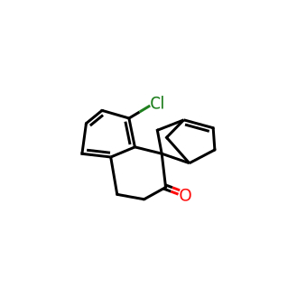 O=C1CCc2cccc(Cl)c2C12CC1=CCC2C1